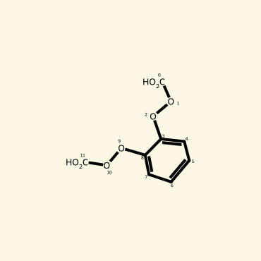 O=C(O)OOc1ccccc1OOC(=O)O